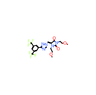 COCCN1C(=O)C(=Cn2cnc(-c3cc(C(F)(F)F)cc(C(F)(F)F)c3)n2)N(CCOC)C1=O